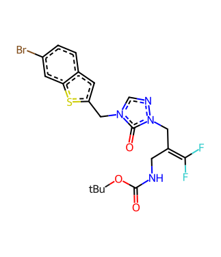 CC(C)(C)OC(=O)NCC(Cn1ncn(Cc2cc3ccc(Br)cc3s2)c1=O)=C(F)F